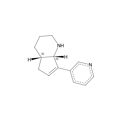 C1=C(c2cccnc2)[C@H]2NCCC[C@H]2C1